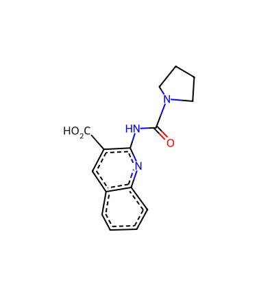 O=C(O)c1cc2ccccc2nc1NC(=O)N1CCCC1